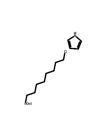 CCCCCCCCCCCCCCCCCl.c1cc[nH]c1